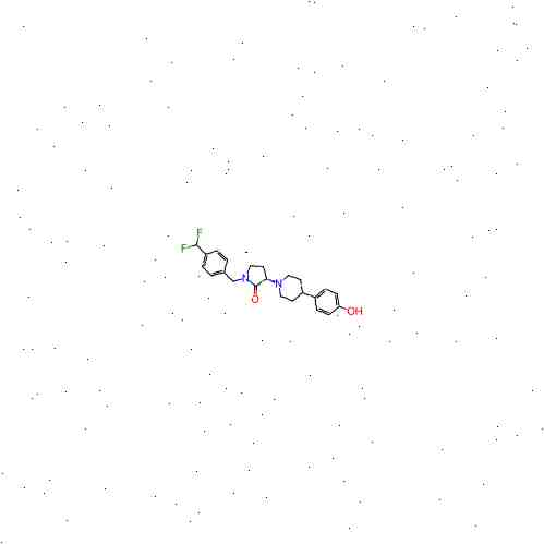 O=C1[C@H](N2CCC(c3ccc(O)cc3)CC2)CCN1Cc1ccc(C(F)F)cc1